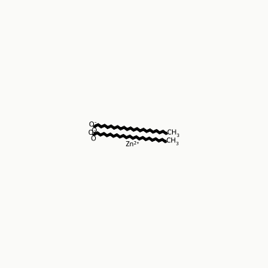 CCCCCCCCCCCCCCCCCCCCCCCC(=O)[O-].CCCCCCCCCCCCCCCCCCCCCCCC(=O)[O-].[Zn+2]